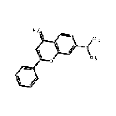 C=C1C=C(c2ccccc2)Oc2cc(N(C)C)ccc21